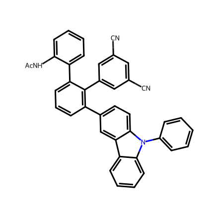 CC(=O)Nc1ccccc1-c1cccc(-c2ccc3c(c2)c2ccccc2n3-c2ccccc2)c1-c1cc(C#N)cc(C#N)c1